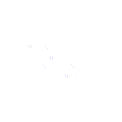 CC1COCCN1c1cc(Cl)nc(-c2ccnc3c2ccn3S(=O)(=O)Cc2ccccc2)n1